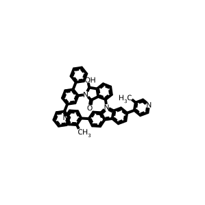 Cc1cnccc1-c1ccc2c3ccc(-c4ccncc4C)cc3n(-c3cccc4c3C(=O)N(c3cc(-c5ccccc5)ccc3-c3ccccc3)C4O)c2c1